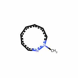 Cn1cccccccn1